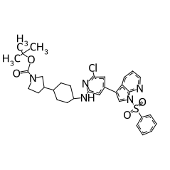 CC(C)(C)OC(=O)N1CCC(C2CCC(Nc3cc(-c4cn(S(=O)(=O)c5ccccc5)c5ncccc45)cc(Cl)n3)CC2)C1